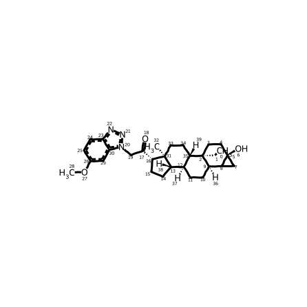 CC[C@]12CC[C@]3(O)CC3[C@H]1CC[C@H]1[C@@H]3CC[C@H](C(=O)Cn4nnc5ccc(OC)cc54)[C@@]3(C)CC[C@@H]12